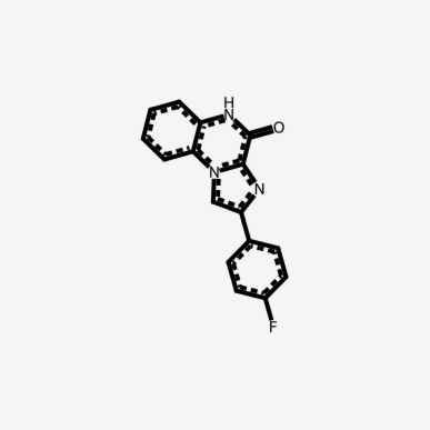 O=c1[nH]c2ccccc2n2cc(-c3ccc(F)cc3)nc12